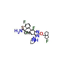 N#Cc1c(N)sc2c(F)ccc(-c3c(F)cc4c(N5CC6CCC(C5)N6)nc(OC[C@@]56CCCC5C[C@H](F)C6)nc4c3F)c12